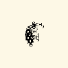 CS[C@]1(SCOC(C)=O)CC[C@H]2[C@@H]3CCC4=CC(=O)C=C[C@]4(C)[C@@]3(F)[C@@H](O)C[C@@]21C